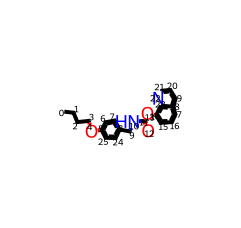 CCCCOc1ccc(CNC(=O)Oc2cccc3cccnc23)cc1